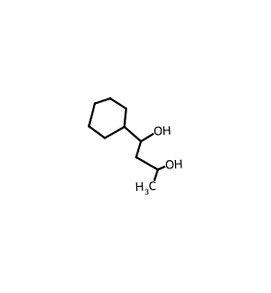 CC(O)CC(O)C1CCCCC1